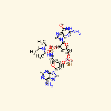 CCN(CC)CC.Nc1nc2c(ncn2[C@H]2O[C@@H]3CO[P@](=O)(S)O[C@H]4C[C@H](n5cnc6c(N)ncnc65)O[C@@H]4CNS(=O)(=O)O[C@@H]2C3)c(=O)[nH]1